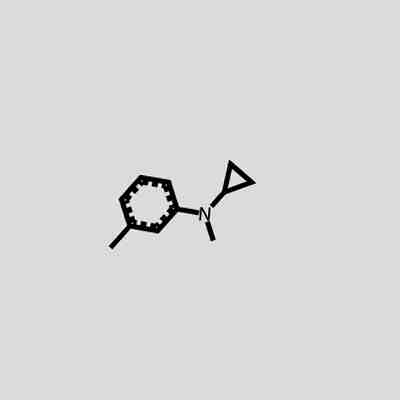 Cc1cccc(N(C)C2CC2)c1